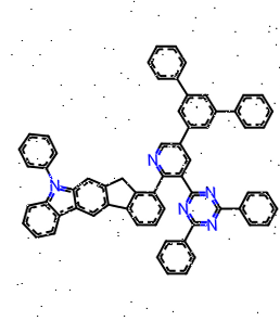 c1ccc(-c2cc(-c3ccccc3)cc(-c3cnc(-c4cccc5c4Cc4cc6c(cc4-5)c4ccccc4n6-c4ccccc4)c(-c4nc(-c5ccccc5)nc(-c5ccccc5)n4)c3)c2)cc1